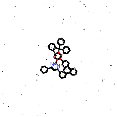 c1ccc(-c2cc(-c3cccc4c5ccccc5c5ccc(-c6ccc7c(c6)C(c6ccccc6)(c6ccccc6)c6ccccc6-7)cc5c34)nc(-c3ccccc3)n2)cc1